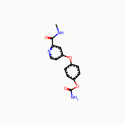 CNC(=O)c1cc(Oc2ccc(OC(N)=O)cc2)ccn1